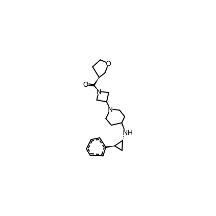 O=C([C@H]1CCOC1)N1C[C](N2CCC(N[C@@H]3C[C@H]3c3ccccc3)CC2)C1